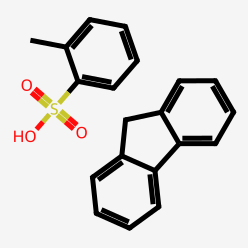 Cc1ccccc1S(=O)(=O)O.c1ccc2c(c1)Cc1ccccc1-2